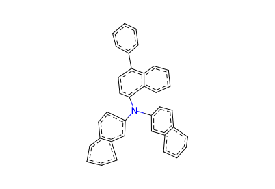 c1ccc(-c2ccc(N(c3ccc4ccccc4c3)c3ccc4ccccc4c3)c3ccccc23)cc1